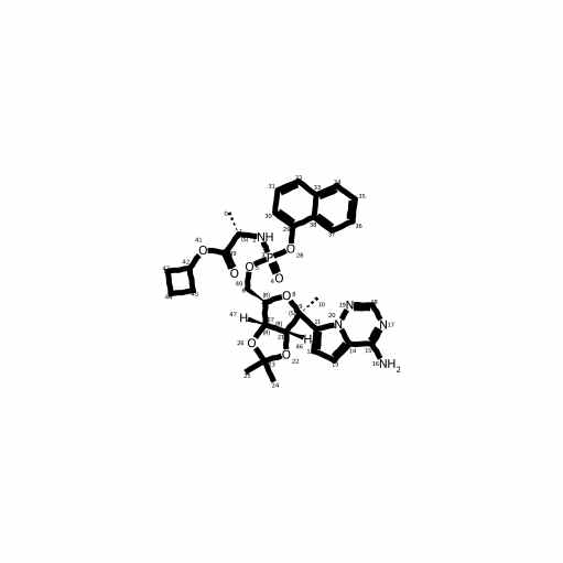 C[C@H](NP(=O)(OC[C@H]1O[C@@](C)(c2ccc3c(N)ncnn23)[C@@H]2OC(C)(C)O[C@@H]21)Oc1cccc2ccccc12)C(=O)OC1CCC1